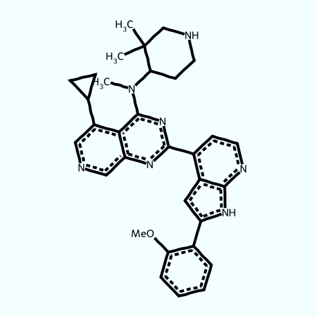 COc1ccccc1-c1cc2c(-c3nc(N(C)C4CCNCC4(C)C)c4c(C5CC5)cncc4n3)ccnc2[nH]1